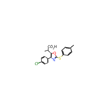 Cc1ccc(Sc2nc(-c3ccc(Cl)cc3)c(C(C)C(=O)O)o2)cc1